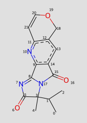 CC(C)C1(C)C(=O)N=C2c3nc4c(cc3C(=O)N21)COC=C4